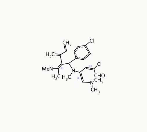 C=CC(=C)/C(=C(/C)NC)C(c1ccc(Cl)cc1)N(C)C(/C=C(/Cl)C=O)=C/N(C)C